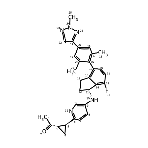 CC(=O)[C@H]1C[C@@H]1c1ccc(N[C@@H]2CCc3c(-c4c(C)cc(-c5nnn(C)n5)cc4C)ccc(F)c32)cn1